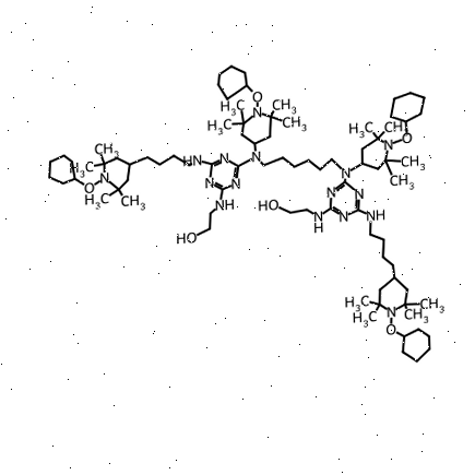 CC1(C)CC(CCCCNc2nc(NCCO)nc(N(CCCCCCN(c3nc(NCCO)nc(NCCCCC4CC(C)(C)N(OC5CCCCC5)C(C)(C)C4)n3)C3CC(C)(C)N(OC4CCCCC4)C(C)(C)C3)C3CC(C)(C)N(OC4CCCCC4)C(C)(C)C3)n2)CC(C)(C)N1OC1CCCCC1